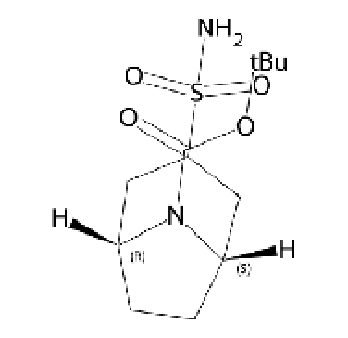 CC(C)(C)OC(=O)N1[C@@H]2CC[C@H]1CC(S(N)(=O)=O)C2